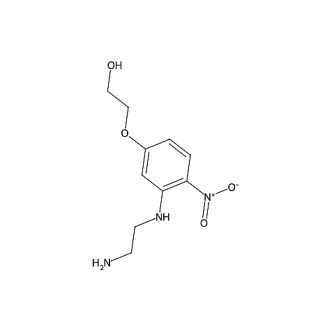 NCCNc1cc(OCCO)ccc1[N+](=O)[O-]